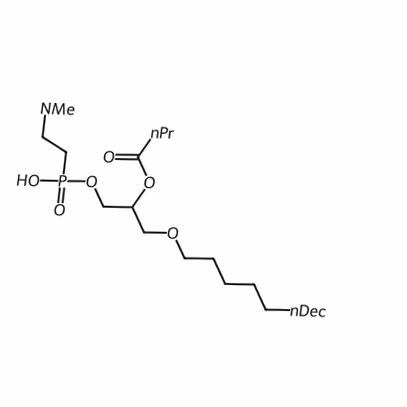 CCCCCCCCCCCCCCCOCC(COP(=O)(O)CCNC)OC(=O)CCC